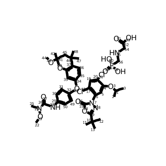 CC(C)Oc1cc(-n2nc(C(C)(C)C)oc2=O)c(Cl)cc1Cl.CON(C)C(=O)Nc1ccc(Oc2ccc3c(c2)OC(C)(OC)CC3(C)C)cc1.O=C(O)CNCP(=O)(O)O